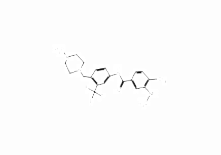 CNc1cc(C(=O)Nc2ccc(CN3CCN(C)CC3)c(C(F)(F)F)c2)ccc1C